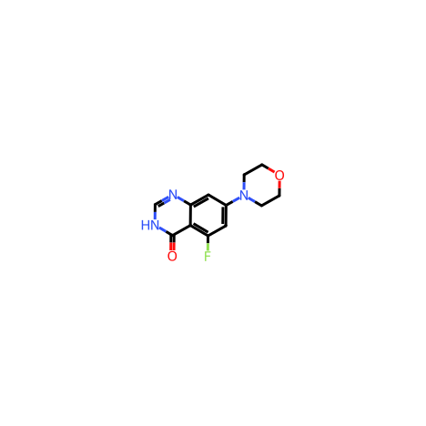 O=c1[nH]cnc2cc(N3CCOCC3)cc(F)c12